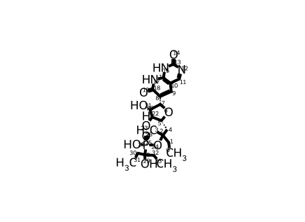 CCC(C)(C[C@H]1O[C@@H](c2cc3cnc(=O)[nH]c3[nH]c2=O)[C@@H](O)C1O)OP(=O)(O)C(O)(CC)CC